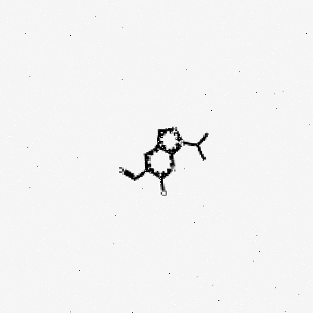 CC(C)n1ncc2cc(C=O)c(Cl)nc21